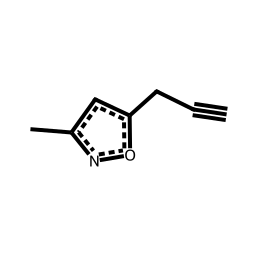 C#CCc1cc(C)no1